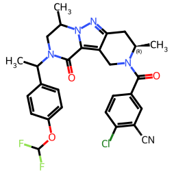 CC(c1ccc(OC(F)F)cc1)N1CC(C)n2nc3c(c2C1=O)CN(C(=O)c1ccc(Cl)c(C#N)c1)[C@H](C)C3